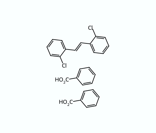 Clc1ccccc1C=Cc1ccccc1Cl.O=C(O)c1ccccc1.O=C(O)c1ccccc1